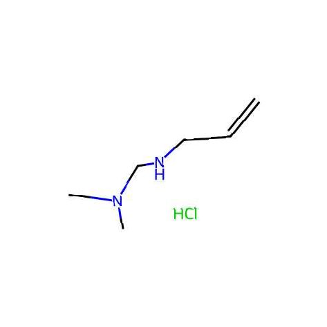 C=CCNCN(C)C.Cl